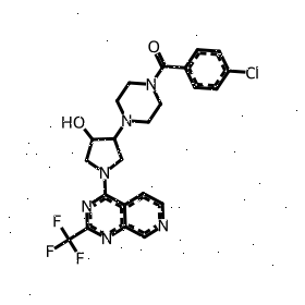 O=C(c1ccc(Cl)cc1)N1CCN(C2CN(c3nc(C(F)(F)F)nc4cnccc34)CC2O)CC1